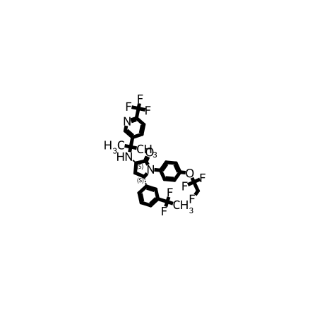 CC(F)(F)c1cccc([C@@H]2C[C@H](NC(C)(C)c3ccc(C(F)(F)F)nc3)C(=O)N2c2ccc(OC(F)(F)CF)cc2)c1